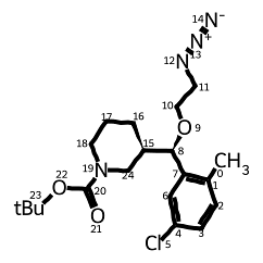 Cc1ccc(Cl)cc1[C@H](OCCN=[N+]=[N-])[C@@H]1CCCN(C(=O)OC(C)(C)C)C1